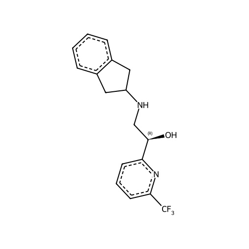 O[C@H](CNC1Cc2ccccc2C1)c1cccc(C(F)(F)F)n1